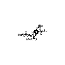 CCC(C)COC(=O)OCCN[C@@H](Cc1ccc(OC(=O)C(C)(C)C)c(OC(=O)C(C)(C)C)c1)C(=O)OC